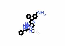 C/N=C(/c1cc(-c2ccccc2)n[nH]1)n1ccc2nc(-c3ccc(CN)cc3)c(-c3ccccc3)cc2c1=N